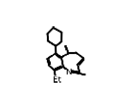 CCc1ccc(C2CCCCC2)c2c1/N=C(C)\C=C\CC2C